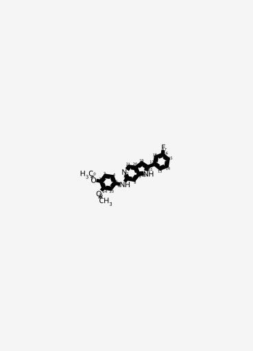 COc1ccc(Nc2cc3[nH]c(-c4cccc(F)c4)cc3cn2)cc1OC